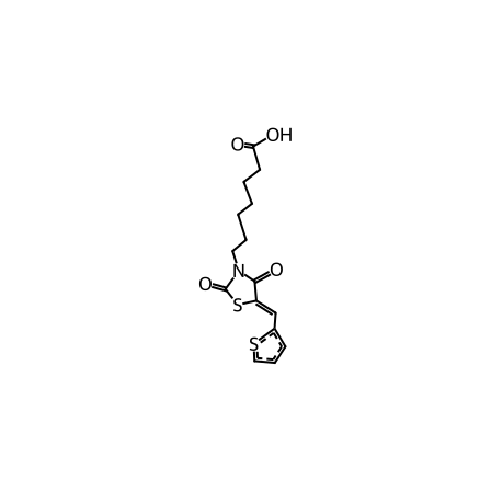 O=C(O)CCCCCCN1C(=O)S/C(=C\c2cccs2)C1=O